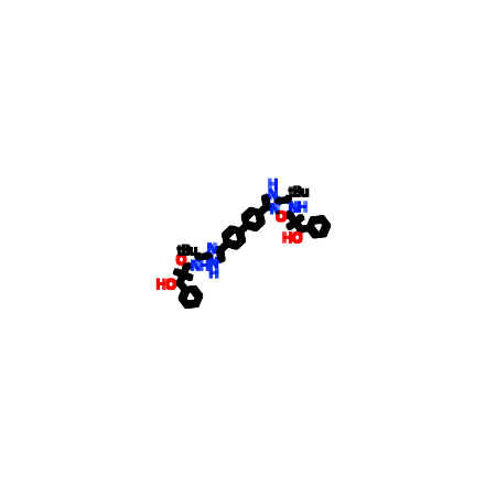 CC(C)(C)C(NC(=O)C(C)(C)C(O)c1ccccc1)c1nc(-c2ccc(-c3ccc(-c4c[nH]c(C(NC(=O)C(C)(C)C(O)c5ccccc5)C(C)(C)C)n4)cc3)cc2)c[nH]1